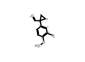 COc1ccc(C2(C=O)CC2)cc1Br